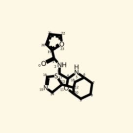 O=C(NCC1NC2CCCC(O1)C(C1CN=CS1)C2)c1ccco1